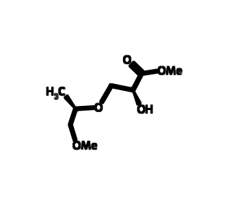 COC[C@@H](C)OC[C@H](O)C(=O)OC